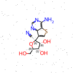 N#C[C@@]1(c2csc3c(N)ncnc23)O[C@H](CO)[C@@H](O)[C@H]1O